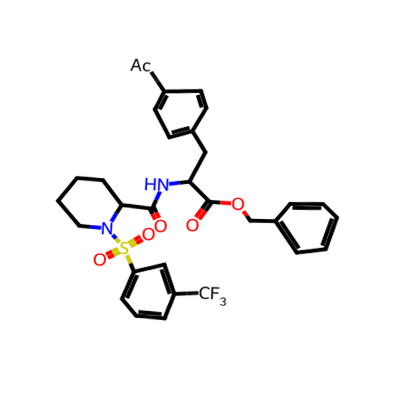 CC(=O)c1ccc(CC(NC(=O)C2CCCCN2S(=O)(=O)c2cccc(C(F)(F)F)c2)C(=O)OCc2ccccc2)cc1